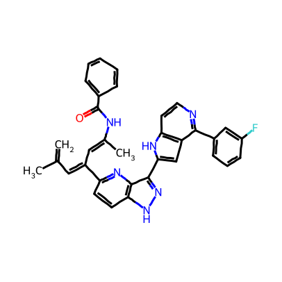 C=C(C)/C=C(\C=C(/C)NC(=O)c1ccccc1)c1ccc2[nH]nc(-c3cc4c(-c5cccc(F)c5)nccc4[nH]3)c2n1